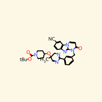 CC(C)(C)OC(=O)N1CCC(OC2(C)C=NC(c3cccc(Cn4c(=O)ccn5c6cc(C#N)ccc6nc45)c3)=NC2)CC1